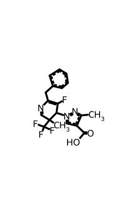 Cc1nn(C2C(F)=C(Cc3ccccc3)N=CC2(C)C(F)(F)F)cc1C(=O)O